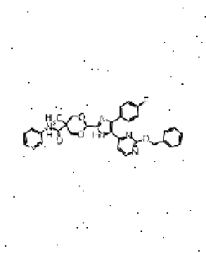 CC1(C(=O)Nc2ccccc2)COC(c2nc(-c3ccc(F)cc3)c(-c3ccnc(OCc4ccccc4)n3)[nH]2)OC1